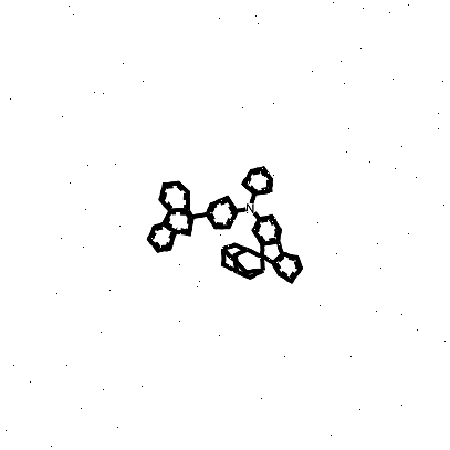 c1ccc(N(c2ccc(-c3cc4ccccc4c4ccccc34)cc2)c2ccc3c(c2)C2(c4ccccc4-3)C3CC4CC(C3)CC2C4)cc1